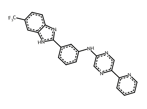 FC(F)(F)c1ccc2nc(-c3cccc(Nc4cnc(-c5ccccn5)cn4)c3)[nH]c2c1